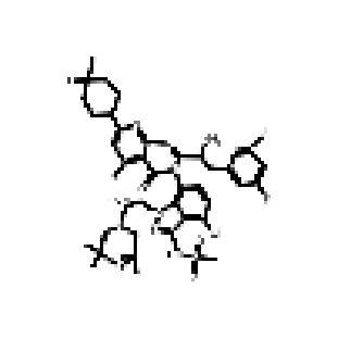 Cc1cc(C2CCC(F)(F)CC2)nc2nc([C@@H](N)Cc3cc(F)cc(F)c3)n(-c3ccc(Cl)c4c(NS(C)(=O)=O)nn(C[C@@H](C)N5CC(C)(C)OC(C)(C)C5)c34)c(=O)c12